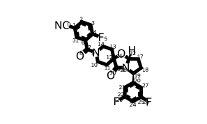 N#Cc1ccc(F)c(C(=O)N2CCC3(CC2)O[C@@H]2CC[C@@H](c4cc(F)cc(F)c4)N2C3=O)c1